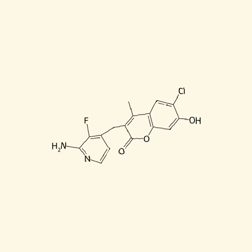 Cc1c(Cc2ccnc(N)c2F)c(=O)oc2cc(O)c(Cl)cc12